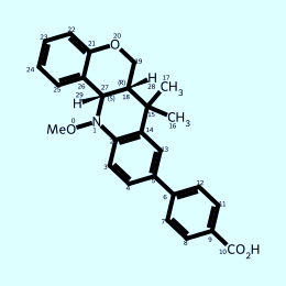 CON1c2ccc(-c3ccc(C(=O)O)cc3)cc2C(C)(C)[C@H]2COc3ccccc3[C@H]21